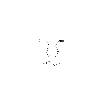 CCC=O.O=Cc1ccccc1C=O